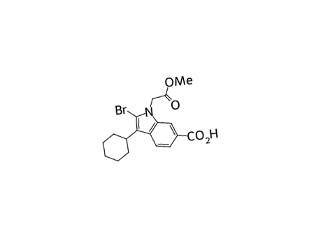 COC(=O)Cn1c(Br)c(C2CCCCC2)c2ccc(C(=O)O)cc21